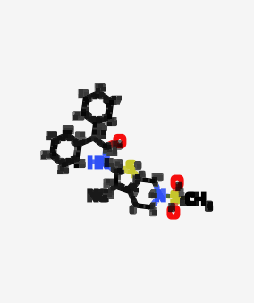 CS(=O)(=O)N1CCc2c(sc(NC(=O)C(c3ccccc3)c3ccccc3)c2C#N)C1